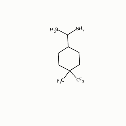 BC(B)C1CCC(C(F)(F)F)(C(F)(F)F)CC1